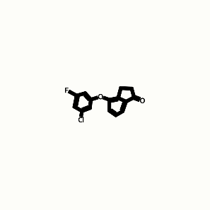 O=C1CCc2c(Oc3cc(F)cc(Cl)c3)cccc21